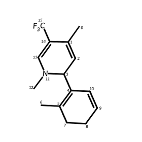 CC1=CC(C2=C(C)CCC=C2)N(C)C=C1C(F)(F)F